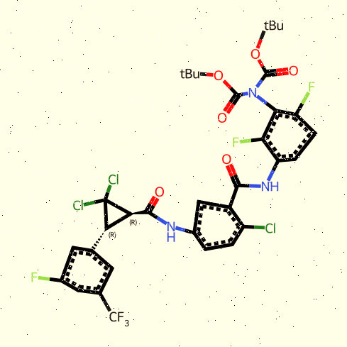 CC(C)(C)OC(=O)N(C(=O)OC(C)(C)C)c1c(F)ccc(NC(=O)c2cc(NC(=O)[C@H]3[C@H](c4cc(F)cc(C(F)(F)F)c4)C3(Cl)Cl)ccc2Cl)c1F